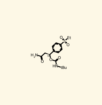 CCS(=O)(=O)c1ccc([C@H](CC(N)=O)OC(=O)NC(C)(C)C)cc1